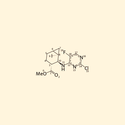 COC(=O)[C@@H]1CCC2C[C@@]2(I)[C@H]1Nc1nc(Cl)ncc1F